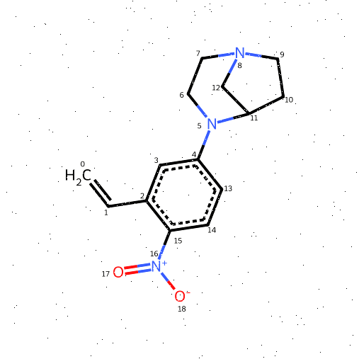 C=Cc1cc(N2CCN3CCC2C3)ccc1[N+](=O)[O-]